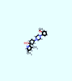 COc1ccccc1N1CCN(C2CCC(O)(c3ncc(C)cc3C)CC2)CC1